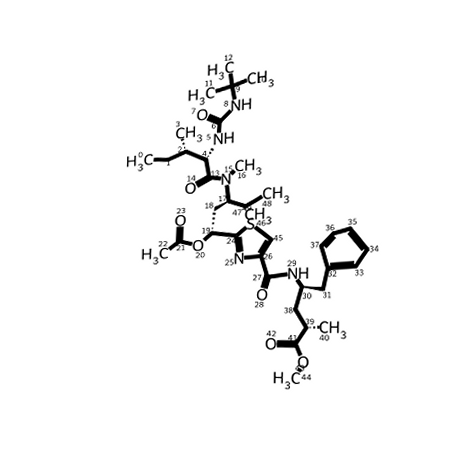 CC[C@H](C)[C@H](NC(=O)NC(C)(C)C)C(=O)N(C)[C@H](C[C@@H](OC(C)=O)c1nc(C(=O)N[C@@H](Cc2ccccc2)C[C@H](C)C(=O)OC)cs1)C(C)C